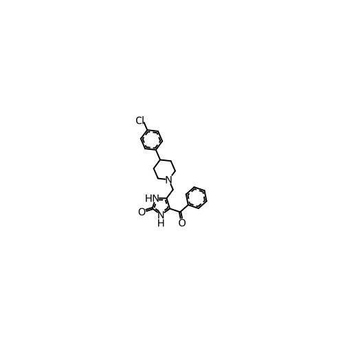 O=C(c1ccccc1)c1[nH]c(=O)[nH]c1CN1CCC(c2ccc(Cl)cc2)CC1